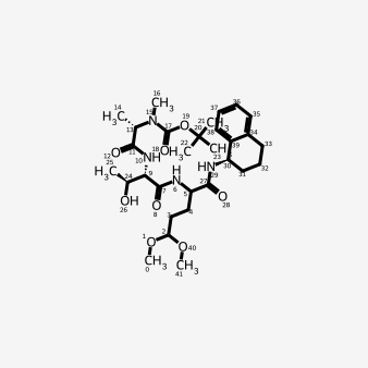 COC(CCC(NC(=O)[C@@H](NC(=O)[C@H](C)N(C)C(=O)OC(C)(C)C)[C@H](C)O)C(=O)N[C@@H]1CCCc2ccccc21)OC